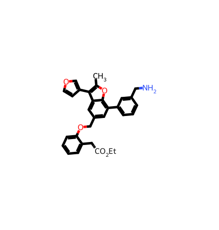 CCOC(=O)Cc1ccccc1OCc1cc(-c2cccc(CN)c2)c2oc(C)c(-c3ccoc3)c2c1